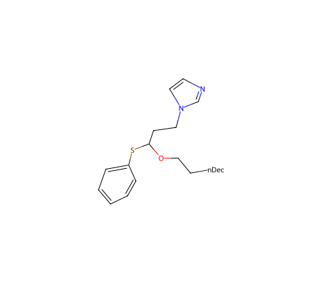 CCCCCCCCCCCCOC(CCn1ccnc1)Sc1ccccc1